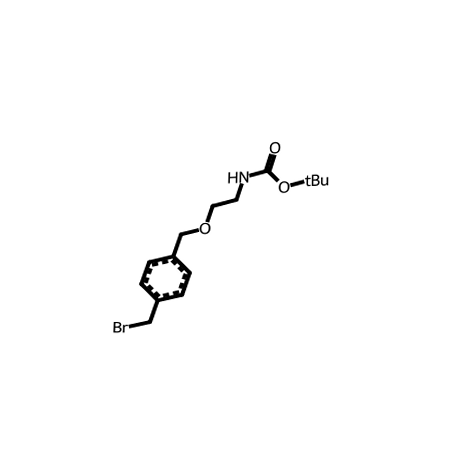 CC(C)(C)OC(=O)NCCOCc1ccc(CBr)cc1